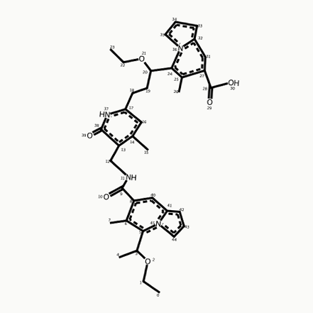 CCOC(C)c1c(C)c(C(=O)NCc2c(C)cc(CCC(OCC)c3c(C)c(C(=O)O)cc4cccn34)[nH]c2=O)cc2cccn12